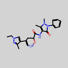 C=C(CC(ON)C(=O)Nc1c(C)n(C)n(-c2ccccc2)c1=O)c1cn(CC)nc1C